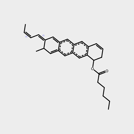 C/C=C\C=C1\C=c2cc3cc4c(cc3cc2=CC1C)C(OC(=O)CCCCC)CC=C4